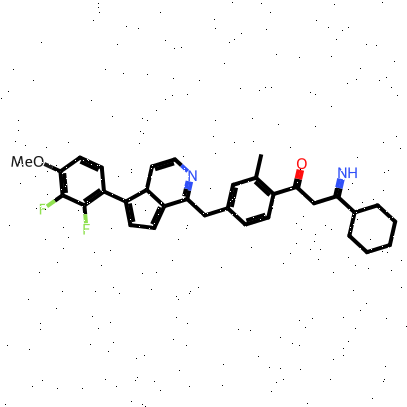 COc1ccc(C2=CC=C3C(Cc4ccc(C(=O)CC(=N)C5CCCCC5)c(C)c4)=NC=CC32)c(F)c1F